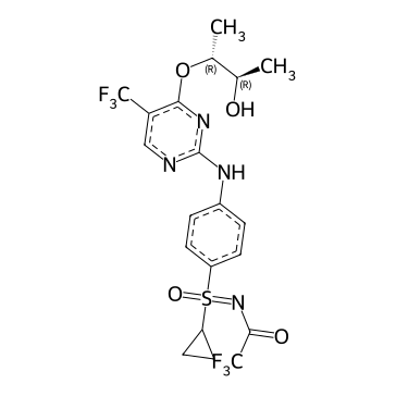 C[C@@H](O)[C@@H](C)Oc1nc(Nc2ccc(S(=O)(=NC(=O)C(F)(F)F)C3CC3)cc2)ncc1C(F)(F)F